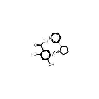 CN1CCC[C@H]1c1cccnc1.O=C(O)c1ccc(O)cc1O